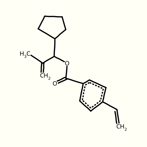 C=Cc1ccc(C(=O)OC(C(=C)C)C2CCCC2)cc1